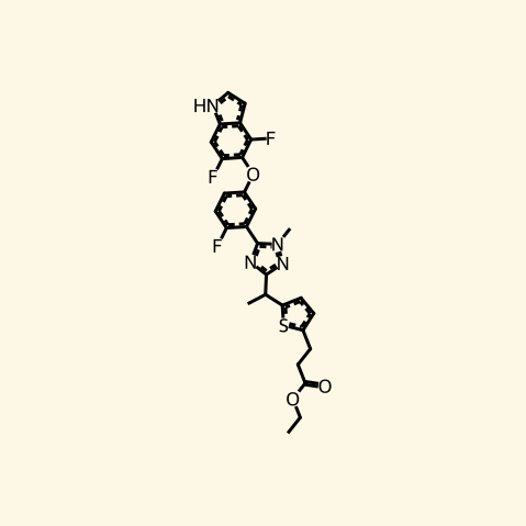 CCOC(=O)CCc1ccc(C(C)c2nc(-c3cc(Oc4c(F)cc5[nH]ccc5c4F)ccc3F)n(C)n2)s1